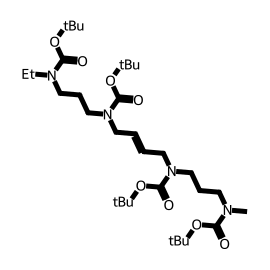 CCN(CCCN(CC=CCN(CCCN(C)C(=O)OC(C)(C)C)C(=O)OC(C)(C)C)C(=O)OC(C)(C)C)C(=O)OC(C)(C)C